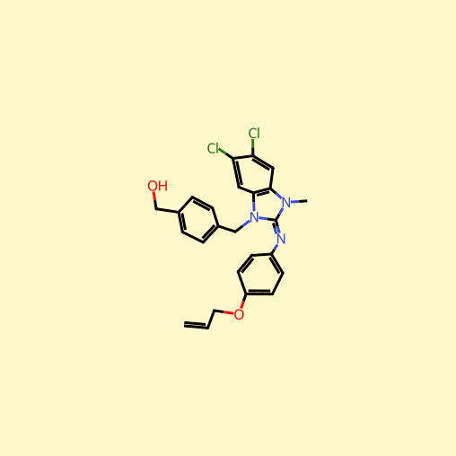 C=CCOc1ccc(/N=c2/n(C)c3cc(Cl)c(Cl)cc3n2Cc2ccc(CO)cc2)cc1